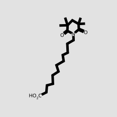 CC1(C)CC(C)(C)C(=O)N(CCCCCCCCCCCC(=O)O)C1=O